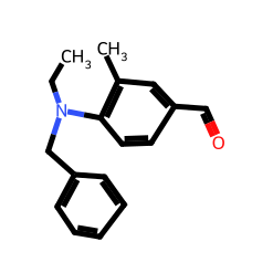 CCN(Cc1ccccc1)c1ccc(C=O)cc1C